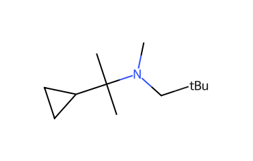 CN(CC(C)(C)C)C(C)(C)C1CC1